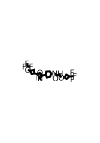 O=C(COC1CC(C(F)(F)F)C1)NC1CCC(c2nnc(C3CC(OC(F)(F)F)C3)o2)CC1